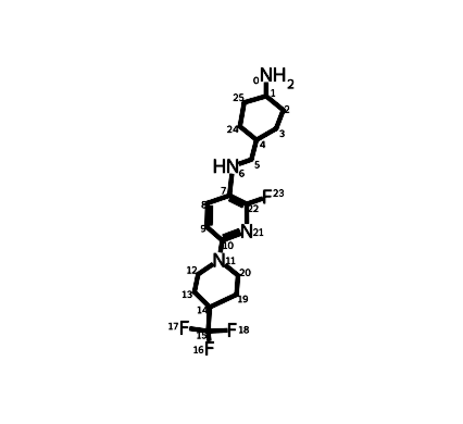 NC1CCC(CNc2ccc(N3CCC(C(F)(F)F)CC3)nc2F)CC1